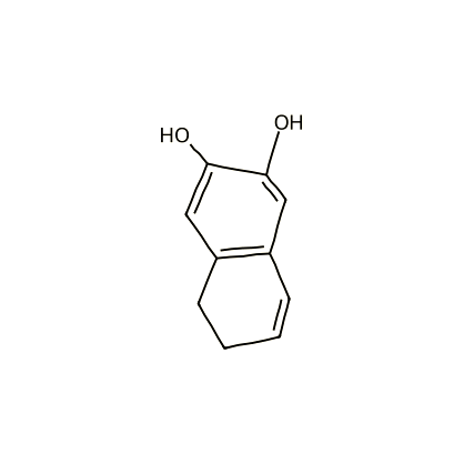 Oc1cc2c(cc1O)CCC=C2